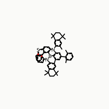 Cc1cc2c(cc1N1c3cc(-c4c(C)cccc4C)cc4c3B(c3c1ccc1sc5ccccc5c31)N(c1ccccc1)c1cc3c(cc1-4)C(C)(C)CCC3(C)C)C(C)(C)CCC2(C)C